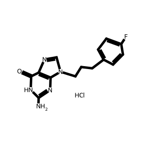 Cl.Nc1nc2c(ncn2CCCc2ccc(F)cc2)c(=O)[nH]1